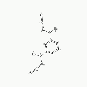 CCC(N=C=O)c1cccc(C(CC)N=C=O)c1